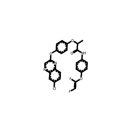 CC(Oc1ccc(Oc2cnc3cc(Cl)ccc3n2)cc1)C(=O)Nc1ccc(OC(F)=CF)cc1